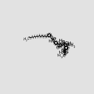 CCCCCCCCCCCCCCCc1cccc(OCC(=O)Nc2ccc(-n3[nH]c(N(C(C)=O)c4cc(S(=O)(=O)NCC)ccc4OC)cc3=O)cc2)c1